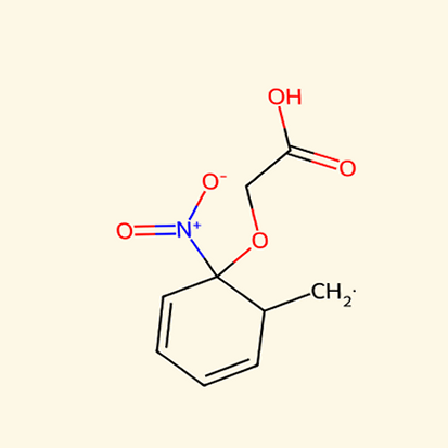 [CH2]C1C=CC=CC1(OCC(=O)O)[N+](=O)[O-]